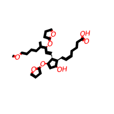 COCCCCC(C)[C@H](/C=C/[C@@H]1[C@@H](C/C=C\CCCC(=O)O)[C@@H](O)C[C@H]1OC1CCCO1)OC1CCCO1